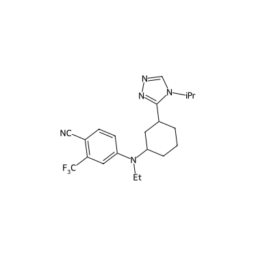 CCN(c1ccc(C#N)c(C(F)(F)F)c1)C1CCCC(c2nncn2C(C)C)C1